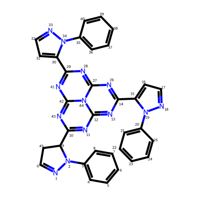 C1=NN(c2ccccc2)C(C2=NC3=NC(c4ccnn4-c4ccccc4)=NC4=NC(c5ccnn5-c5ccccc5)=NC(=N2)N43)C1